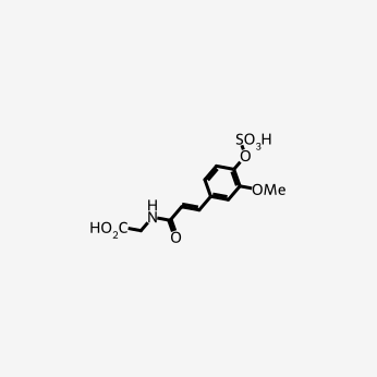 COc1cc(C=CC(=O)NCC(=O)O)ccc1OS(=O)(=O)O